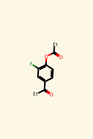 CCC(=O)Oc1ccc(C(=O)CC)cc1F